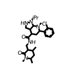 CC1CC(C)N(C)C(=O)C1CNC(=O)C1CC(c2ccccc2Cl)N(C)C2C1CNN2C(C)C